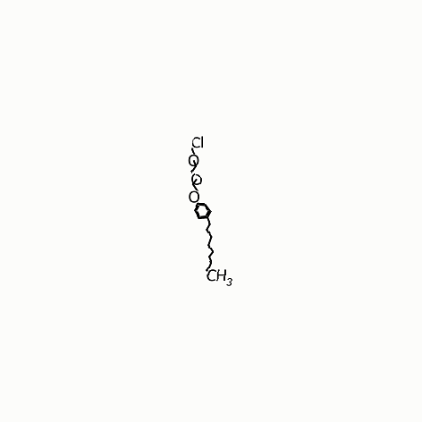 CCCCCCCCCc1ccc(OCCOCCOCCCl)cc1